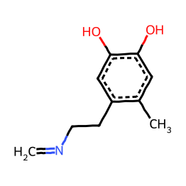 C=NCCc1cc(O)c(O)cc1C